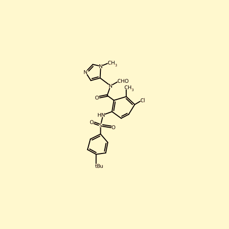 Cc1c(Cl)ccc(NS(=O)(=O)c2ccc(C(C)(C)C)cc2)c1C(=O)N(C=O)c1cncn1C